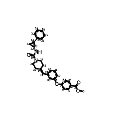 COC(=O)c1ccc(Oc2cccc(C=C3CCN(C(=O)N[C@@H]4C[C@H]4c4ccccc4)CC3)c2)nc1